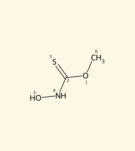 COC(=S)NO